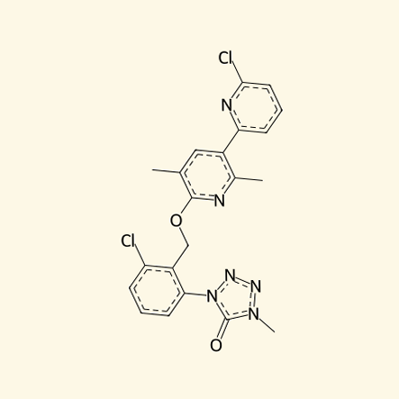 Cc1cc(-c2cccc(Cl)n2)c(C)nc1OCc1c(Cl)cccc1-n1nnn(C)c1=O